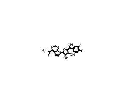 CC(F)c1ncnc2c1ccn2C1OC(C(O)c2ccc(F)c(F)c2)C(O)C1O